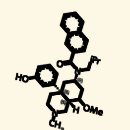 COC1C[C@H](N(CC(C)C)C(=O)c2ccc3ccccc3c2)C[C@]2(c3cccc(O)c3)CCN(C)C[C@@H]12